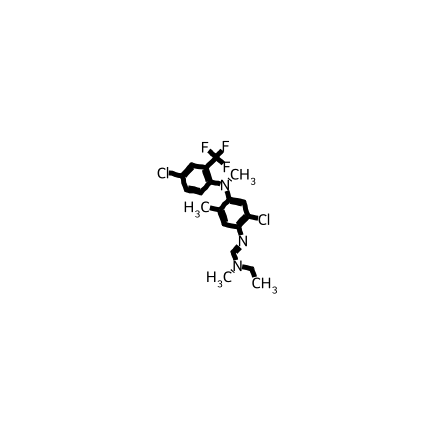 CCN(C)C=Nc1cc(C)c(N(C)c2ccc(Cl)cc2C(F)(F)F)cc1Cl